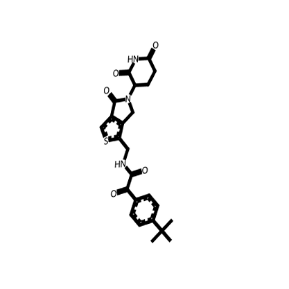 CC(C)(C)c1ccc(C(=O)C(=O)NCc2scc3c2CN(C2CCC(=O)NC2=O)C3=O)cc1